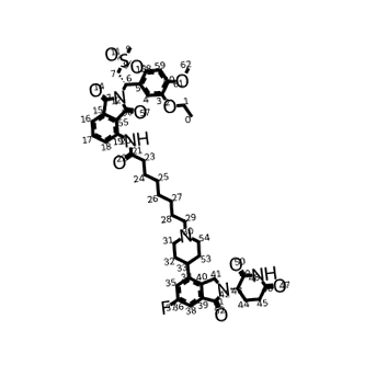 CCOc1cc([C@@H](CS(C)(=O)=O)N2C(=O)c3cccc(NC(=O)CCCCCCCN4CCC(c5cc(F)cc6c5CN([C@H]5CCC(=O)NC5=O)C6=O)CC4)c3C2=O)ccc1OC